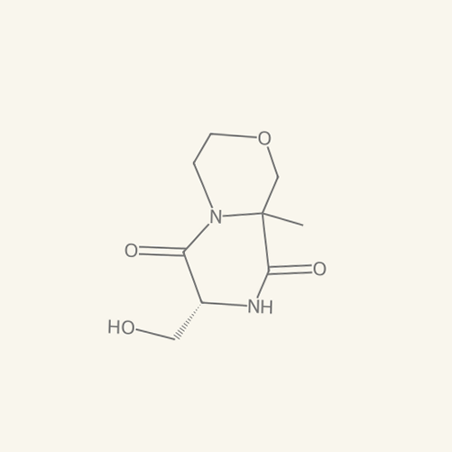 CC12COCCN1C(=O)[C@@H](CO)NC2=O